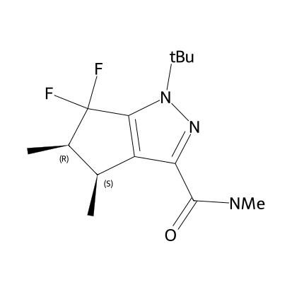 CNC(=O)c1nn(C(C)(C)C)c2c1[C@@H](C)[C@@H](C)C2(F)F